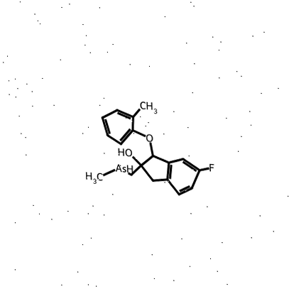 C[AsH]CC1(O)Cc2ccc(F)cc2C1Oc1ccccc1C